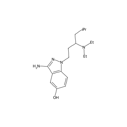 CCN(CC)C(CCn1nc(N)c2cc(O)ccc21)CC(C)C